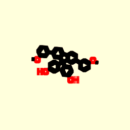 COc1cccc(-c2ccc3c(c2)C(c2ccc(O)cc2)(c2ccc(O)cc2)c2cc(-c4cccc(OC)c4)ccc2-3)c1